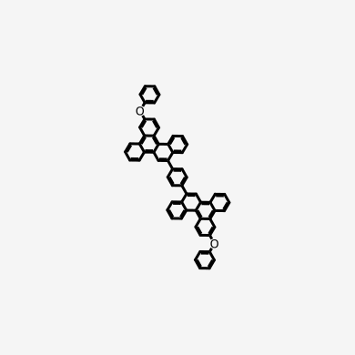 c1ccc(Oc2ccc3c(c2)c2ccccc2c2cc(-c4ccc(-c5cc6c7ccccc7c7cc(Oc8ccccc8)ccc7c6c6ccccc56)cc4)c4ccccc4c32)cc1